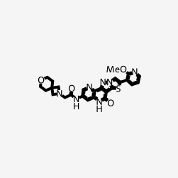 COc1ncccc1-c1cn2nc3c4ncc(NC(=O)CN5CC6(CCOCC6)C5)cc4[nH]c(=O)c3c2s1